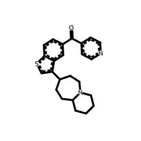 O=C(c1ccncc1)c1ccc2scc(C3CCC4CCCCN4CC3)c2c1